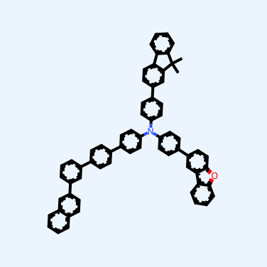 CC1(C)c2ccccc2-c2ccc(-c3ccc(N(c4ccc(-c5ccc(-c6cccc(-c7ccc8ccccc8c7)c6)cc5)cc4)c4ccc(-c5ccc6oc7ccccc7c6c5)cc4)cc3)cc21